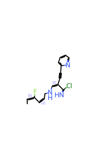 C/C=C(F)\C=C/CN/C=C(/C#Cc1ccccn1)C(=N)Cl